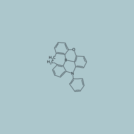 Cc1cccc2c1B1c3c(C)cccc3N(c3ccccc3)c3cccc(c31)O2